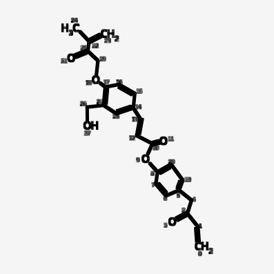 C=CC(=O)Cc1ccc(OC(=O)/C=C/c2ccc(OCC(=O)C(=C)C)c(CO)c2)cc1